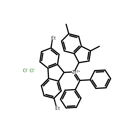 CCc1ccc2c(c1)[CH]([Zr+2](=[C](c1ccccc1)c1ccccc1)[CH]1C=C(C)c3cc(C)ccc31)c1cc(CC)ccc1-2.[Cl-].[Cl-]